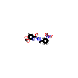 C/C(=N\NC(=O)c1ccc2c(c1)OCO2)c1cccc([N+](=O)[O-])c1